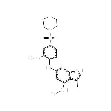 CCNc1cc(Nc2ccc(S(=O)(=O)N3CCOCC3)cc2OC)nc2[nH]cc(Cl)c12